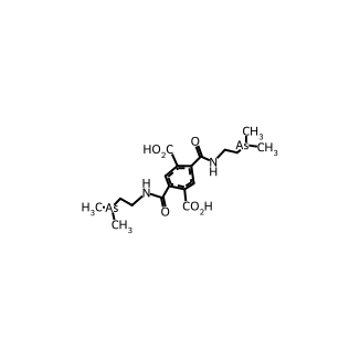 C[As](C)CCNC(=O)c1cc(C(=O)O)c(C(=O)NCC[As](C)C)cc1C(=O)O